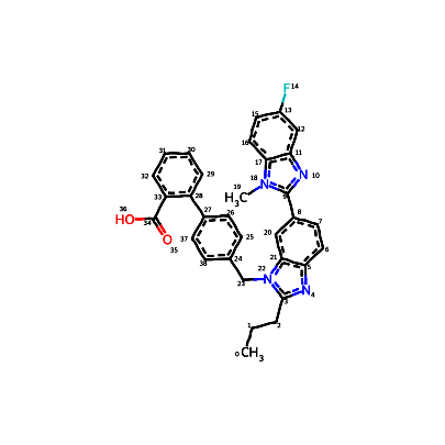 CCCc1nc2ccc(-c3nc4cc(F)ccc4n3C)cc2n1Cc1ccc(-c2ccccc2C(=O)O)cc1